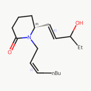 CCCC/C=C\CN1C(=O)CCC[C@@H]1/C=C/C(O)CC